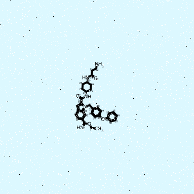 CCOC(=N)c1ccc2cc(C(=O)N[C@H]3CC[C@H](NC(=O)CCN)CC3)n(Cc3ccc(Oc4ccccc4)cc3)c2c1